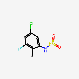 Cc1c(F)cc(Cl)cc1N[SH](=O)=O